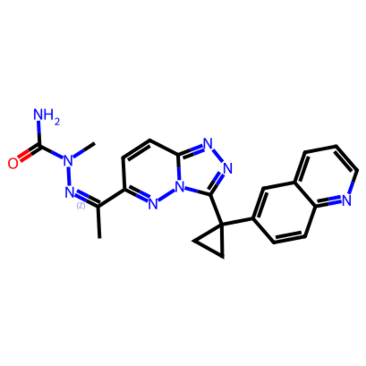 C/C(=N/N(C)C(N)=O)c1ccc2nnc(C3(c4ccc5ncccc5c4)CC3)n2n1